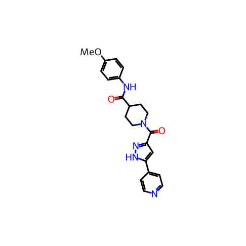 COc1ccc(NC(=O)C2CCN(C(=O)c3cc(-c4ccncc4)[nH]n3)CC2)cc1